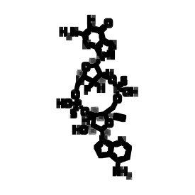 C#C[C@@]12COP(O)(=S)O[C@@H]3[C@H](F)[C@@H](COP(O)(=S)O[C@H]1[C@@H](O)[C@H](n1ccc4c(N)ccnc41)O2)O[C@H]3n1nnc2c(=O)[nH]c(N)nc21